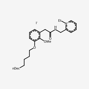 CCCCCCCCCCCCCCOc1cccc(CC(=O)NCc2cccc[n+]2CC)c1OC.[I-]